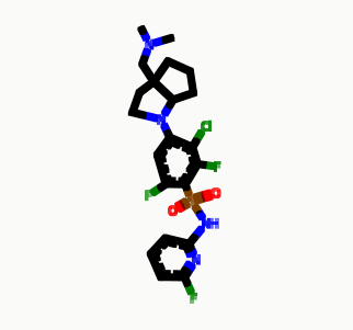 CN(C)CC12CCCC1N(c1cc(F)c(S(=O)(=O)Nc3cccc(F)n3)c(F)c1Cl)CC2